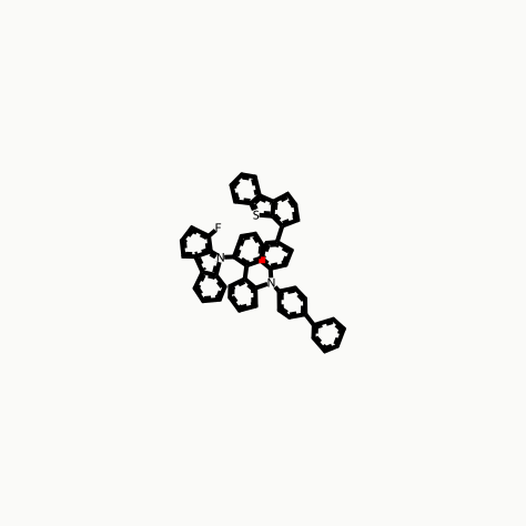 Fc1cccc2c3ccccc3n(-c3ccccc3-c3ccccc3N(c3ccc(-c4ccccc4)cc3)c3ccc(-c4cccc5c4sc4ccccc45)cc3)c12